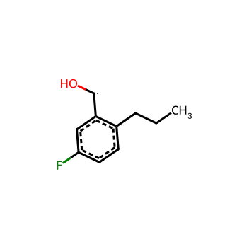 CCCc1ccc(F)cc1[CH]O